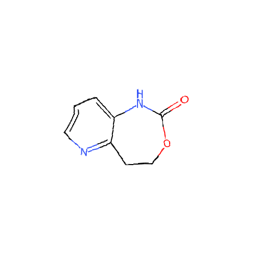 O=C1Nc2cccnc2CCO1